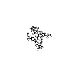 CCn1nc(C)cc1C(=O)Nc1nc2cc(C(N)=O)cc(OCCCO)c2n1CC=CCn1c(NC(=O)c2cc(C)nn2CC)nc2cc(C(N)=O)cc(OCCCOC)c21